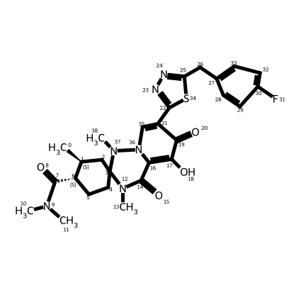 C[C@H]1CC2(CC[C@@H]1C(=O)N(C)C)N(C)C(=O)c1c(O)c(=O)c(-c3nnc(Cc4ccc(F)cc4)s3)cn1N2C